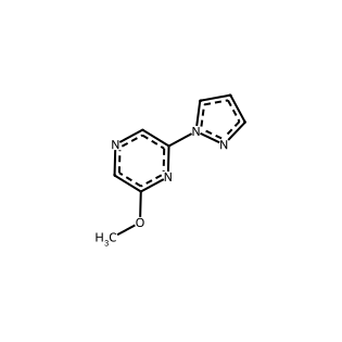 COc1cncc(-n2cccn2)n1